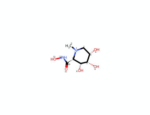 CN1C[C@H](O)[C@H](O)[C@H](O)[C@@H]1C(=O)NO